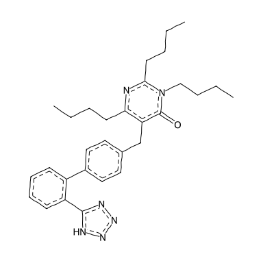 CCCCc1nc(CCCC)n(CCCC)c(=O)c1Cc1ccc(-c2ccccc2-c2nnn[nH]2)cc1